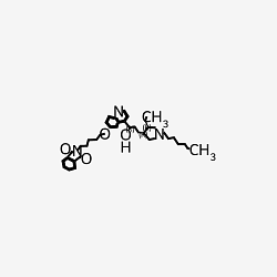 CCCCCCCN1CC[C@@H](CC[C@@H](O)c2ccnc3ccc(OCCCCCN4C(=O)c5ccccc5C4=O)cc23)[C@@H](CC)C1